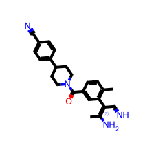 C/C(N)=C(/C=N)c1cc(C(=O)N2CCC(c3ccc(C#N)cc3)CC2)ccc1C